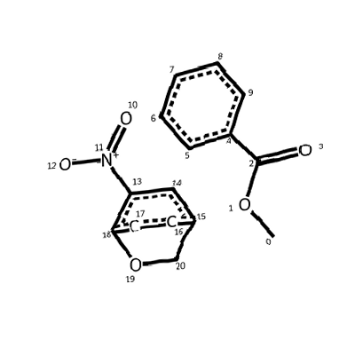 COC(=O)c1ccccc1.O=[N+]([O-])c1cc2ccc1OC2